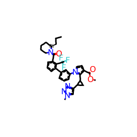 CCC[C@@H]1CCCCN1C(=O)c1cccc(-c2cccc(-n3ccc(C(=O)OC)c3C3CC3c3cn(C)nn3)c2)c1C(F)(F)F